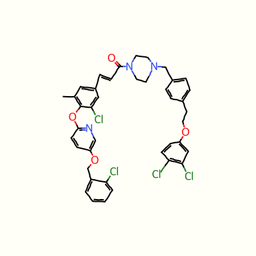 Cc1cc(C=CC(=O)N2CCN(Cc3ccc(CCOc4ccc(Cl)c(Cl)c4)cc3)CC2)cc(Cl)c1Oc1ccc(OCc2ccccc2Cl)cn1